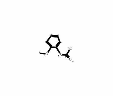 COc1ccccc1SC(=O)Cl